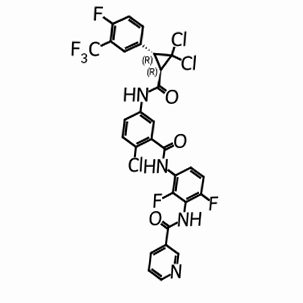 O=C(Nc1c(F)ccc(NC(=O)c2cc(NC(=O)[C@H]3[C@H](c4ccc(F)c(C(F)(F)F)c4)C3(Cl)Cl)ccc2Cl)c1F)c1cccnc1